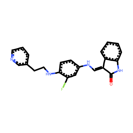 O=C1Nc2ccccc2/C1=C\Nc1ccc(NCCc2cccnc2)c(F)c1